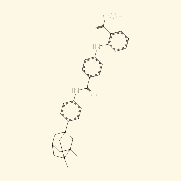 COC(=O)c1ccccc1Nc1ccc(C(=O)Nc2ccc(C34CC5CC(C)(C3)C(C)(C5)C4)cc2)cc1